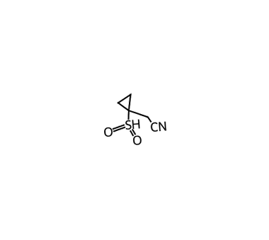 N#CCC1([SH](=O)=O)CC1